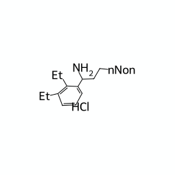 CCCCCCCCCCCC(N)c1cccc(CC)c1CC.Cl